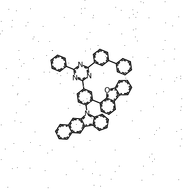 c1ccc(-c2cccc(-c3nc(-c4ccccc4)nc(-c4ccc(-n5c6ccccc6c6cc7ccccc7cc65)c(-c5cccc6c5oc5ccccc56)c4)n3)c2)cc1